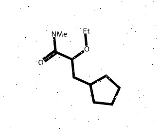 CCOC(CC1CCCC1)C(=O)NC